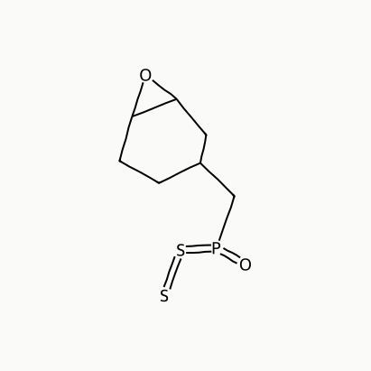 O=P(CC1CCC2OC2C1)=S=S